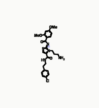 COc1ccc(C(=O)/N=c2\scc(C(=O)NCCc3ccc(Cl)cc3)n2CCCN)c(OC)c1